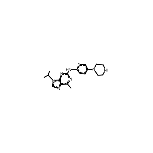 Cc1nc(Nc2ccc(N3CCNCC3)cn2)nc2c1ncn2C(C)C